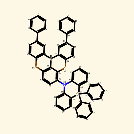 c1ccc(-c2ccc3c(c2)B2c4cc(-c5ccccc5)ccc4Sc4c(N5c6ccccc6[Si](c6ccccc6)(c6ccccc6)c6ccccc65)ccc(c42)S3)cc1